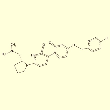 CN(C)C[C@H]1CCCN1c1ccc(-n2ccc(OCc3ccc(Cl)cn3)cc2=O)c(=O)[nH]1